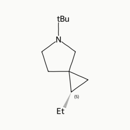 CC[C@H]1CC12CCN(C(C)(C)C)C2